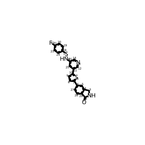 O=C1NCc2cc(-c3ccc(-c4cncc(NSc5ccc(F)cc5)c4)s3)ccc21